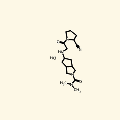 CN(C)C(=O)N1CC2CC(NCC(=O)N3CCCC3C#N)CC2C1.Cl